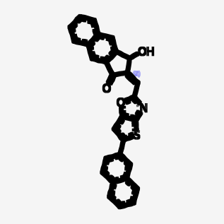 O=C1/C(=C\c2nc3sc(-c4ccc5ccccc5c4)cc3o2)C(O)c2cc3ccccc3cc21